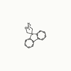 CC[Si]1(CC)c2ccccc2-c2ccccc21